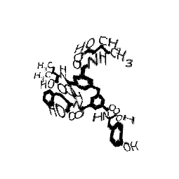 CCC(C)C(NC(=O)c1cc(Cc2cc(C(=O)NC(Cc3ccccc3)C(=O)O)cc(C(=O)NC(Cc3ccc(O)cc3)C(=O)O)c2)cc(C(=O)NC(C(=O)O)C(C)CC)c1)C(=O)O